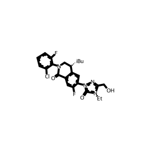 CC[C@@H](C)C1CN(c2c(F)cccc2Cl)C(=O)c2cc(F)c(-n3nc(CO)n(CC)c3=O)cc21